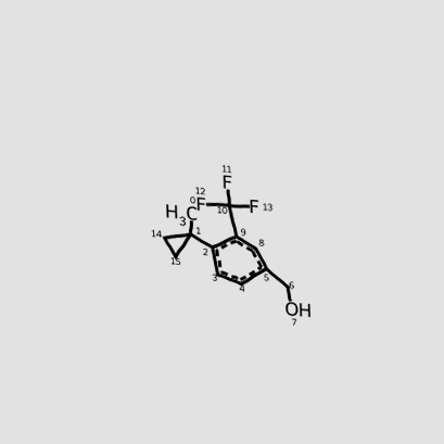 CC1(c2ccc(CO)cc2C(F)(F)F)CC1